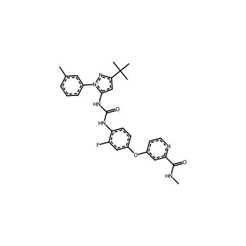 CNC(=O)c1cc(Oc2ccc(NC(=O)Nc3cc(C(C)(C)C)nn3-c3cccc(C)c3)c(F)c2)ccn1